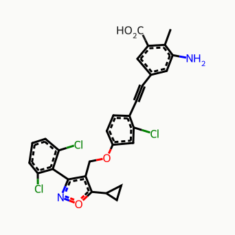 Cc1c(N)cc(C#Cc2ccc(OCc3c(-c4c(Cl)cccc4Cl)noc3C3CC3)cc2Cl)cc1C(=O)O